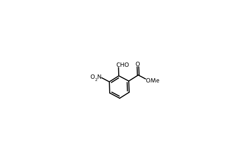 COC(=O)c1cccc([N+](=O)[O-])c1C=O